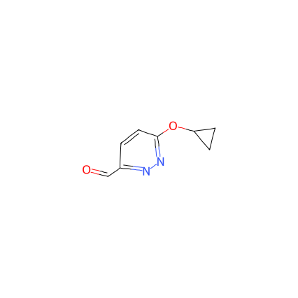 O=Cc1ccc(OC2CC2)nn1